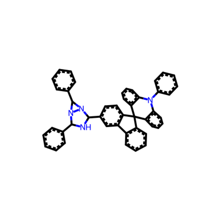 c1ccc(C2NC(c3ccc4c(c3)-c3ccccc3C43c4ccccc4N(c4ccccc4)c4ccccc43)N3C(c4ccccc4)N23)cc1